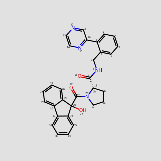 O=C(NCc1ccccc1-c1cnccn1)[C@@H]1CCCN1C(=O)C1(O)c2ccccc2-c2ccccc21